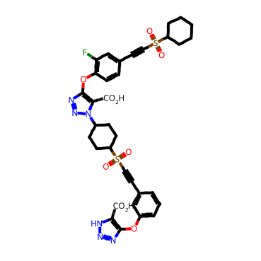 O=C(O)c1[nH]nnc1Oc1cccc(C#CS(=O)(=O)C2CCC(n3nnc(Oc4ccc(C#CS(=O)(=O)C5CCCCC5)cc4F)c3C(=O)O)CC2)c1